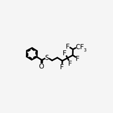 O=C(SCCC(F)C(F)(F)C(F)C(F)C(F)(F)F)c1ccccc1